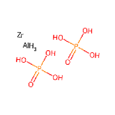 O=P(O)(O)O.O=P(O)(O)O.[AlH3].[Zr]